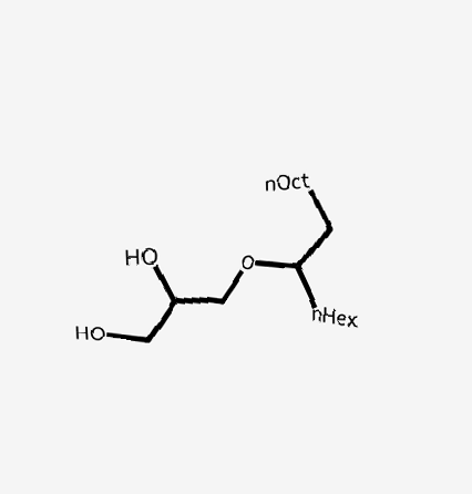 CCCCCCCCCC(CCCCCC)OCC(O)CO